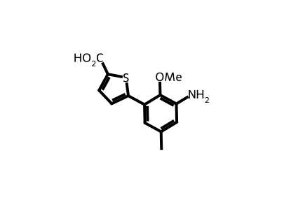 COc1c(N)cc(C)cc1-c1ccc(C(=O)O)s1